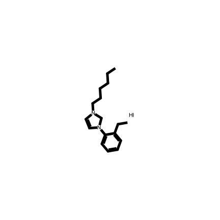 CCCCCCN1C=CN(c2ccccc2CC)C1.I